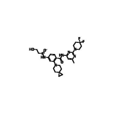 Cc1cc(NC(=O)c2ccc(N[S+]([O-])CCO)cc2N2CCC3(CC2)CC3)nc(N2CCC(F)(F)CC2)n1